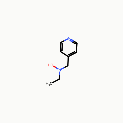 CCN(O)Cc1ccncc1